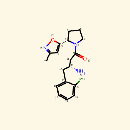 Cc1cc([C@@H]2CCCN2C(=O)C[C@H](N)Cc2ccccc2F)on1